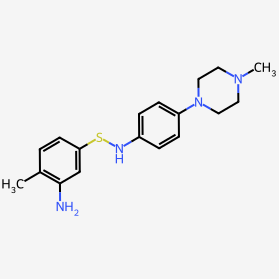 Cc1ccc(SNc2ccc(N3CCN(C)CC3)cc2)cc1N